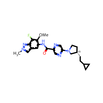 COc1c(NC(=O)c2cnc(N3CC[C@H](CCC4CC4)C3)cn2)cc2cn(C)nc2c1F